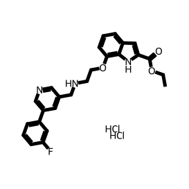 CCOC(=O)c1cc2cccc(OCCNCc3cncc(-c4cccc(F)c4)c3)c2[nH]1.Cl.Cl